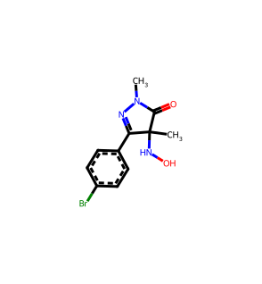 CN1N=C(c2ccc(Br)cc2)C(C)(NO)C1=O